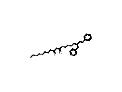 CCCCCCCCC(=O)CC(=O)CCCCCC(CCc1ccccc1)Cc1ccccc1